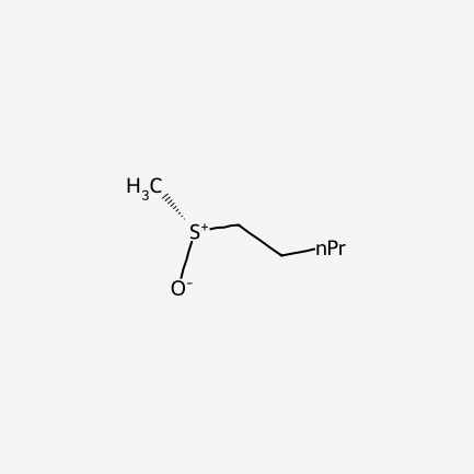 CCCCC[S@@+](C)[O-]